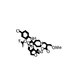 COCC(CN1CCC(C(=O)Nc2ccc(Cl)cc2OC(F)F)(n2ncc3c2C(C)(C)OC3)CC1)C(=O)OC(C)(C)C